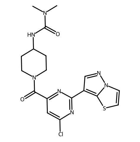 CN(C)C(=O)NC1CCN(C(=O)c2cc(Cl)nc(-c3cnn4ccsc34)n2)CC1